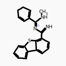 CN/C(=N\C(=N)c1cccc2c1sc1ccccc12)C1=CCCC=C1